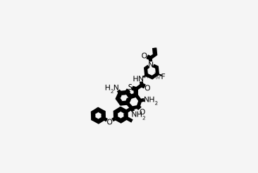 C=CC(=O)N1C[C@@H](F)C[C@@H](NC(=O)c2sc3c(N)ccc4c3c2C(N)C(=O)C4(N)c2ccc(Oc3ccccc3)cc2C)C1